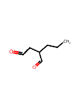 CCCC(C=O)CC=O